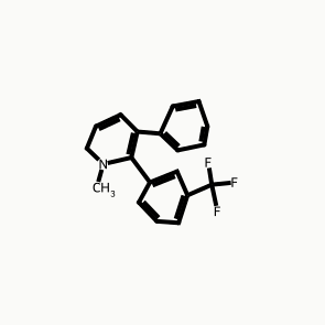 CN1CC=CC(c2ccccc2)=C1c1cccc(C(F)(F)F)c1